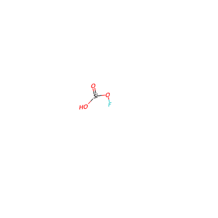 O=[Si](O)OF